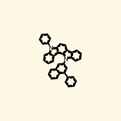 c1ccc(-c2cc(-n3c4ccccc4c4ccc5c(c6ccccc6n5-c5ccccc5)c43)cc3ccccc23)cc1